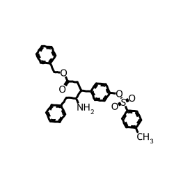 Cc1ccc(S(=O)(=O)Oc2ccc(C(CC(=O)OCc3ccccc3)C(N)Cc3ccccc3)cc2)cc1